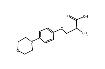 CC(COc1ccc(N2CCOCC2)cc1)C(=O)O